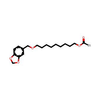 CCC(=O)OCCCCCCCCCOCc1ccc2c(c1)OCO2